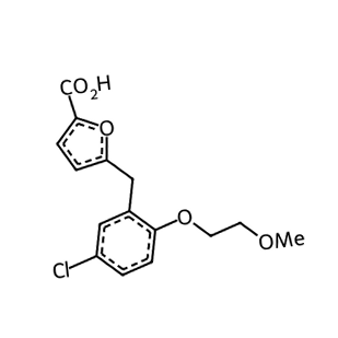 COCCOc1ccc(Cl)cc1Cc1ccc(C(=O)O)o1